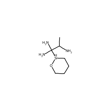 CC(N)C(N)(N)[SiH]1CCCCO1